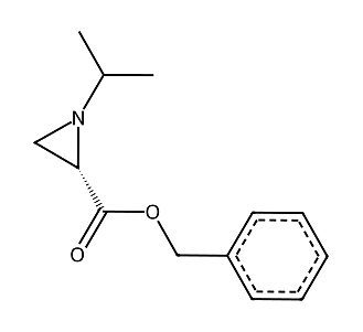 CC(C)N1C[C@H]1C(=O)OCc1ccccc1